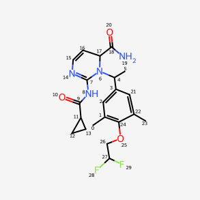 Cc1cc(C(C)N2C(NC(=O)C3CC3)=NC=CC2C(N)=O)cc(C)c1OCC(F)F